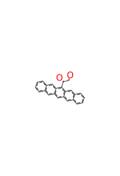 O=CC(=O)c1c2cc3ccccc3cc2cc2cc3ccccc3cc12